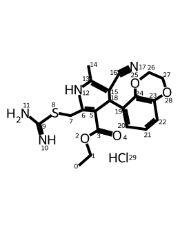 CCOC(=O)C1=C(CSC(=N)N)NC(C)=C(C#N)C1c1cccc2c1OCCO2.Cl